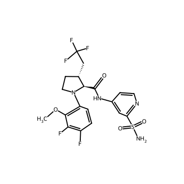 COc1c(N2CC[C@H](CC(F)(F)F)[C@H]2C(=O)Nc2ccnc(S(N)(=O)=O)c2)ccc(F)c1F